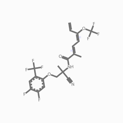 C=C/C(=C\C=C(/C)C(=O)NC(C)(C#N)COc1cc(F)c(F)cc1C(F)(F)F)OC(F)(F)F